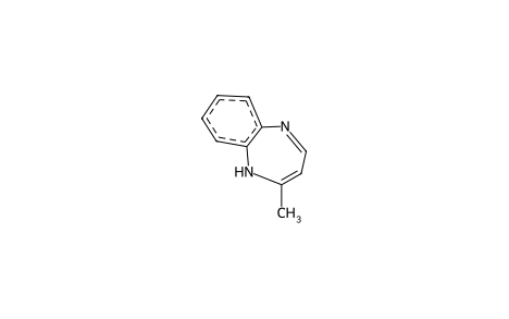 CC1=CC=Nc2ccccc2N1